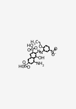 CCOc1ccc([N+](=O)[O-])cc1N=Nc1c(S(=O)(=O)O)cc2cc(S(=O)(=O)O)cc(N)c2c1O